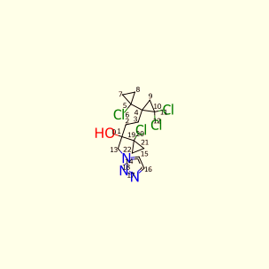 OC(CCC1(C2(Cl)CC2)CC1(Cl)Cl)(Cn1ccnn1)C1(Cl)CC1